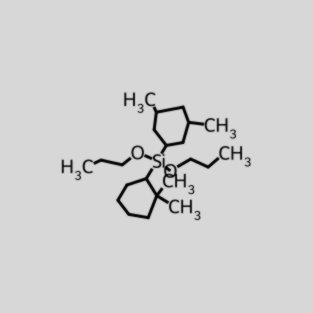 CCCO[Si](OCCC)(C1CC(C)CC(C)C1)C1CCCCC1(C)C